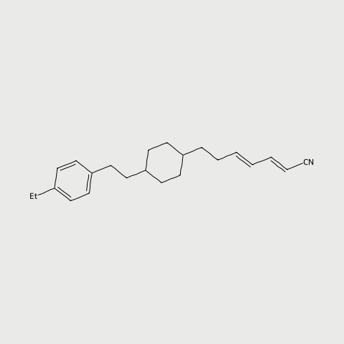 CCc1ccc(CCC2CCC(CCC=CC=CC#N)CC2)cc1